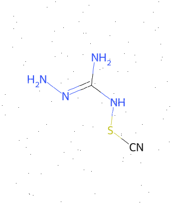 N#CSNC(N)=NN